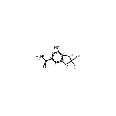 Cl.NC(=O)c1ccc2c(c1)OC(F)(F)O2